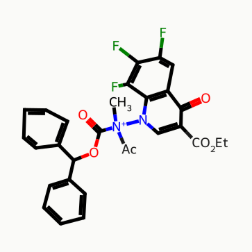 CCOC(=O)c1cn([N+](C)(C(C)=O)C(=O)OC(c2ccccc2)c2ccccc2)c2c(F)c(F)c(F)cc2c1=O